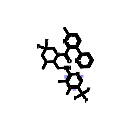 C\C=C(/C=N\C(NCC1C(C)CC(F)(F)CN1C(=O)c1nc(C)ccc1-c1ccccn1)=C(\C)CC)C(F)(F)F